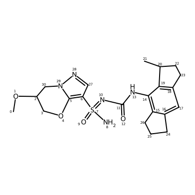 COC1COc2c(S(N)(=O)=NC(=O)Nc3c4c(cc5c3C(C)CC5)CCC4)cnn2C1